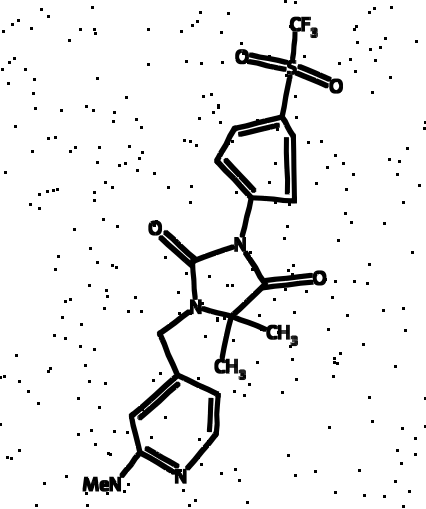 CNc1cc(CN2C(=O)N(c3ccc(S(=O)(=O)C(F)(F)F)cc3)C(=O)C2(C)C)ccn1